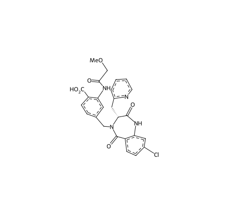 COCC(=O)Nc1cc(CN2C(=O)c3ccc(Cl)cc3NC(=O)[C@H]2Cc2ccccn2)ccc1C(=O)O